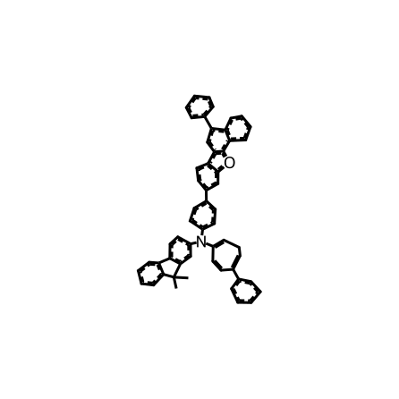 CC1(C)c2ccccc2-c2ccc(N(C3=CCC=C(c4ccccc4)C=C3)c3ccc(-c4ccc5c(c4)oc4c6ccccc6c(-c6ccccc6)cc54)cc3)cc21